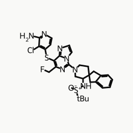 CC(C)(C)[S+]([O-])NC1CN(c2nc(CF)c(Sc3ccnc(N)c3Cl)c3nccn23)CCC12Cc1ccccc1C2